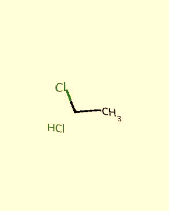 CCCl.Cl